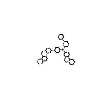 Cc1ccc2c(c1/C=C\c1ccc(-c3ccc(N(C4=CC=CC(c5ccccc5)C4)c4ccc5c(ccc6ccccc65)c4)cc3)cc1)=CCCC=2